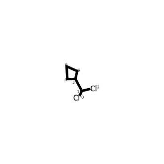 Cl[C](Cl)C1CCC1